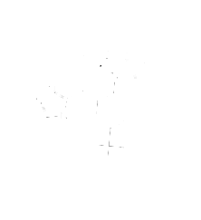 CC(OC(Cc1nnc[nH]1)CN(C(C)(C)C)S(C)(=O)=O)C(C)(C)C